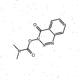 CN(C)C(=O)On1nnc2ccccc2c1=O